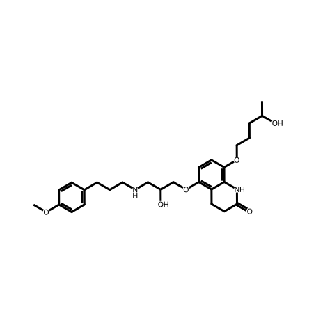 COc1ccc(CCCNCC(O)COc2ccc(OCCCC(C)O)c3c2CCC(=O)N3)cc1